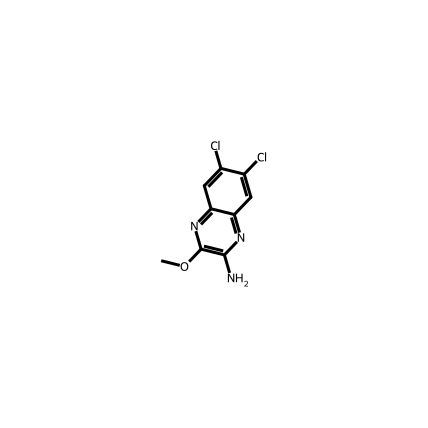 COc1nc2cc(Cl)c(Cl)cc2nc1N